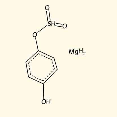 O=[SH](=O)Oc1ccc(O)cc1.[MgH2]